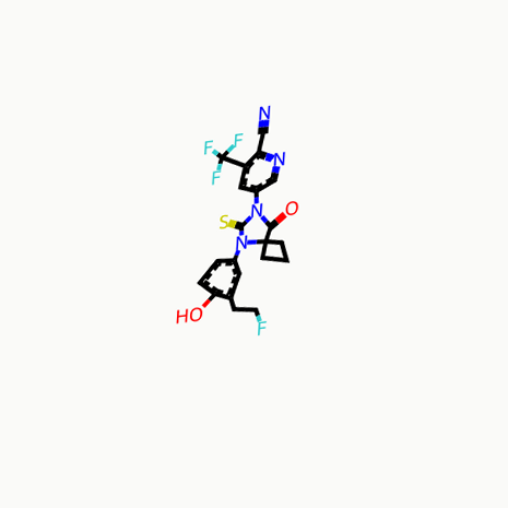 N#Cc1ncc(N2C(=O)C3(CCC3)N(c3ccc(O)c(CCF)c3)C2=S)cc1C(F)(F)F